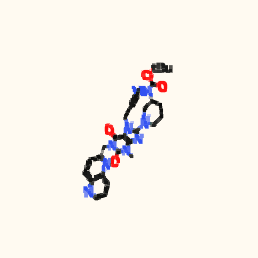 CC#CCn1c(N2CCC[C@@H](NC(=O)OC(C)(C)C)C2)nc2c1c(=O)n(Cc1ccc3ncccc3n1)c(=O)n2C